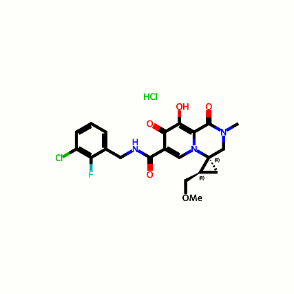 COC[C@@H]1C[C@]12CN(C)C(=O)c1c(O)c(=O)c(C(=O)NCc3cccc(Cl)c3F)cn12.Cl